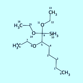 CCCCCC(OCC)C([SiH3])(OCC)OCC